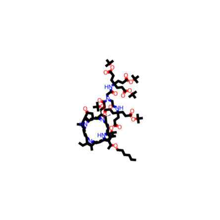 CCCCCCOC(C)c1c(C)c2cc3nc(c4c5[nH]c(cc6nc(cc1[nH]2)C(C)=C6CC)c(C)c5C(=O)C4)[C@@H](CCC(=O)N(CC(=O)NC(CCC(=O)OC(C)(C)C)(CCC(=O)OC(C)(C)C)CCC(=O)OC(C)(C)C)CC(=O)NC(CCC(=O)OC(C)(C)C)(CCC(=O)OC(C)(C)C)CCC(=O)OC(C)(C)C)[C@@H]3C